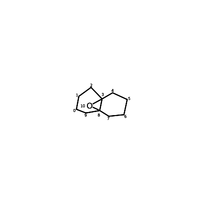 C1CCC23CCCCC2(C1)O3